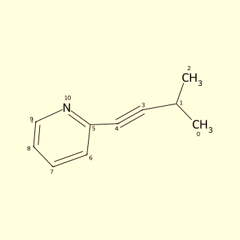 CC(C)C#Cc1ccc[c]n1